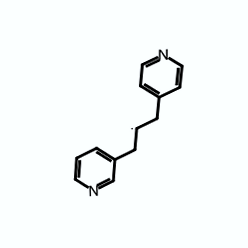 [CH](Cc1ccncc1)Cc1cccnc1